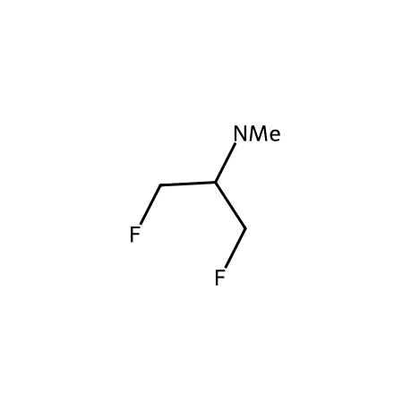 CNC(CF)CF